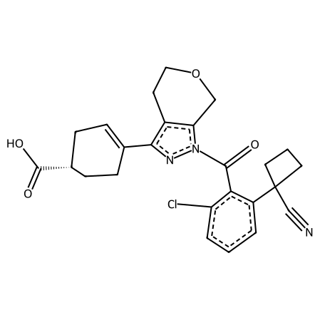 N#CC1(c2cccc(Cl)c2C(=O)n2nc(C3=CC[C@@H](C(=O)O)CC3)c3c2COCC3)CCC1